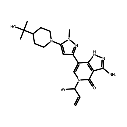 C=CC(C(C)C)n1cc(-c2cc(N3CCC(C(C)(C)O)CC3)n(C)n2)c2[nH]nc(N)c2c1=O